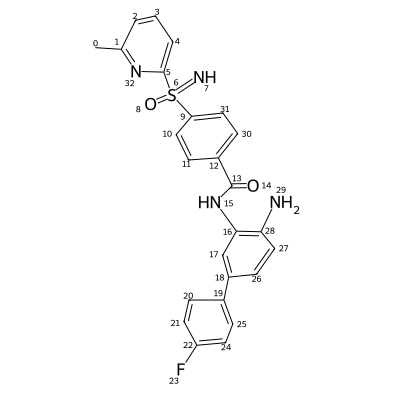 Cc1cccc(S(=N)(=O)c2ccc(C(=O)Nc3cc(-c4ccc(F)cc4)ccc3N)cc2)n1